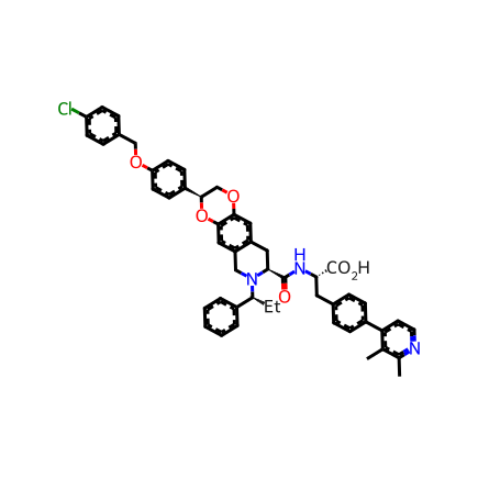 CC[C@@H](c1ccccc1)N1Cc2cc3c(cc2C[C@H]1C(=O)N[C@@H](Cc1ccc(-c2ccnc(C)c2C)cc1)C(=O)O)OC[C@H](c1ccc(OCc2ccc(Cl)cc2)cc1)O3